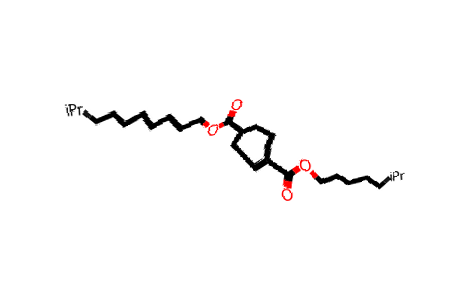 CC(C)CCCCCCCCOC(=O)C1CCC(C(=O)OCCCCCC(C)C)CC1